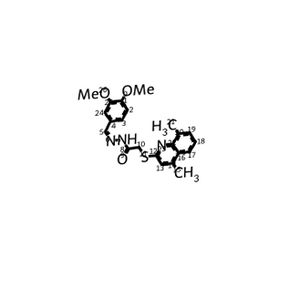 COc1ccc(/C=N\NC(=O)CSc2cc(C)c3cccc(C)c3n2)cc1OC